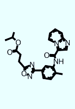 Cc1ccc(-c2noc(CCC(=O)OC(C)C)n2)cc1NC(=O)c1cnc2ccccn12